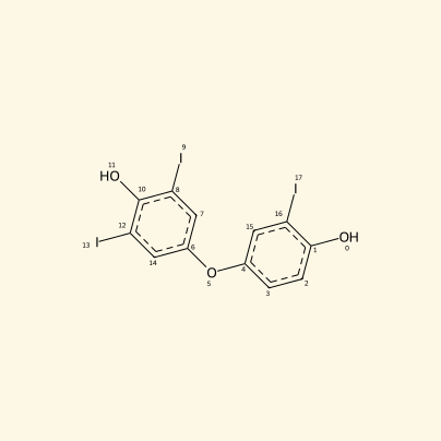 Oc1ccc(Oc2cc(I)c(O)c(I)c2)cc1I